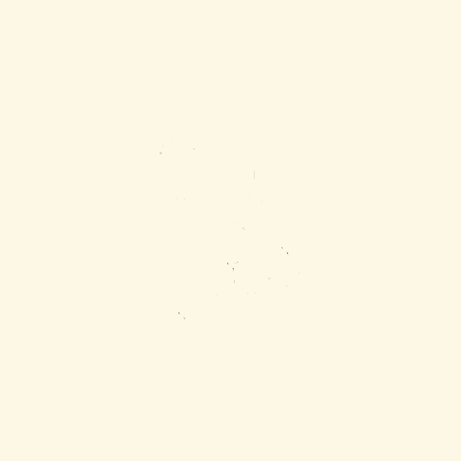 O=C(C1CCNCC1)N(CCCCOc1ccccc1)[C@@H](c1ccc(Cl)cc1)c1ccccn1